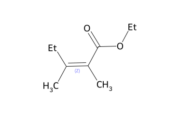 CCOC(=O)/C(C)=C(/C)CC